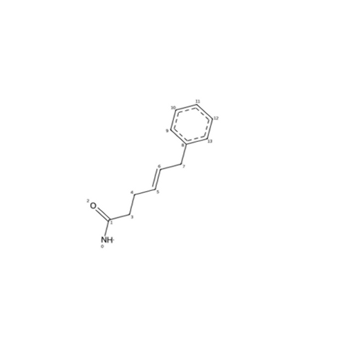 [NH]C(=O)CCC=CCc1ccccc1